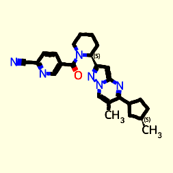 Cc1cn2nc([C@@H]3CCCCN3C(=O)c3ccc(C#N)nc3)cc2nc1C1CC[C@H](C)C1